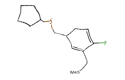 CSCC1=CC(CSC2CCCC2)CC=C1F